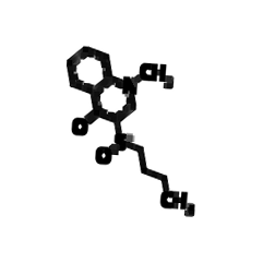 CCCC[S+]([O-])c1cn(C)c2ccccc2c1=O